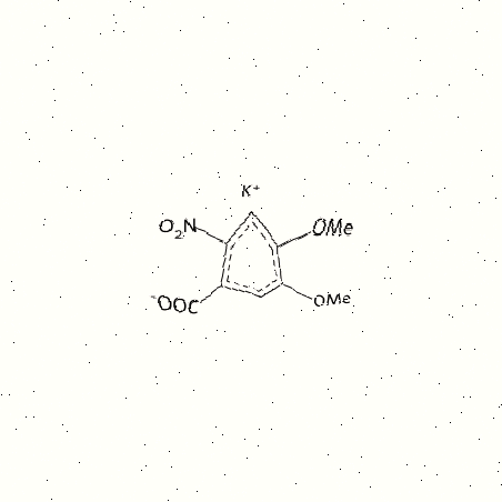 COc1cc(C(=O)[O-])c([N+](=O)[O-])cc1OC.[K+]